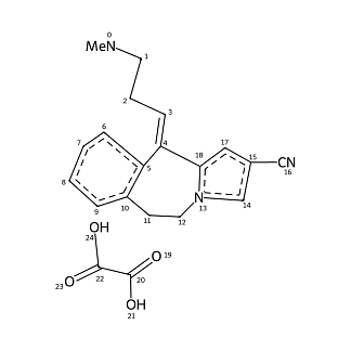 CNCC/C=C1\c2ccccc2CCn2cc(C#N)cc21.O=C(O)C(=O)O